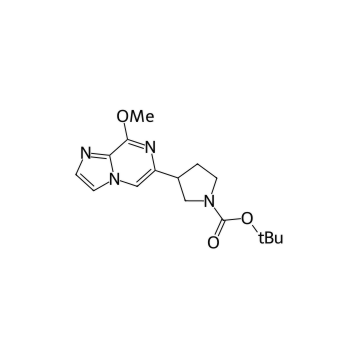 COc1nc(C2CCN(C(=O)OC(C)(C)C)C2)cn2ccnc12